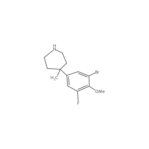 COc1c(F)cc(C2(C)CCNCC2)cc1Br